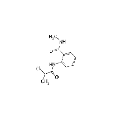 CNC(=O)c1ccccc1NC(=O)C(C)Cl